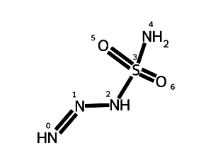 N=NNS(N)(=O)=O